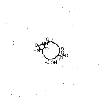 CO[C@H]1/C=C\C=C(/C)C(=O)NC2=CC(=O)C(O)=C(C[C@@H](C)C[C@H](OC)[C@H](O)[C@@H](C)/C=C(\C)[C@@H]1OC(N)=O)C2=O